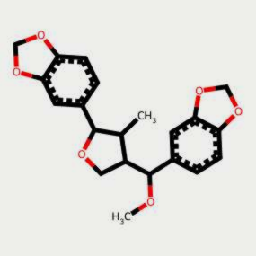 COC(c1ccc2c(c1)OCO2)C1COC(c2ccc3c(c2)OCO3)C1C